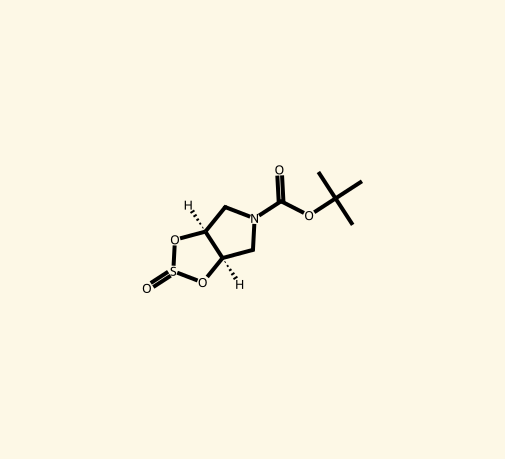 CC(C)(C)OC(=O)N1C[C@@H]2OS(=O)O[C@@H]2C1